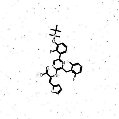 CC(C)(C)[Si](C)(C)Oc1cccc(-c2cnc(N/C(=C\c3ccco3)C(=O)O)c(Cc3c(F)cccc3F)n2)c1F